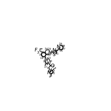 Cc1cc(C)n(CC(=O)N2CCN(c3ccc(C(F)(F)F)c4c3CN(c3nc(-c5ccccn5)cs3)CC4)CC2C)n1